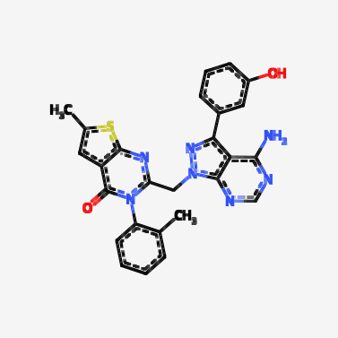 Cc1cc2c(=O)n(-c3ccccc3C)c(Cn3nc(-c4cccc(O)c4)c4c(N)ncnc43)nc2s1